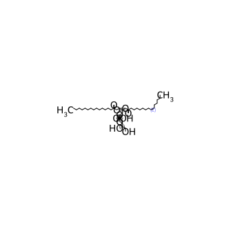 CCCCC/C=C\CCCCCCCC(=O)O[C@H](COC(=O)CCCCCCCCCCCCCCC)COP(=O)(O)OC[C@@H](O)CO